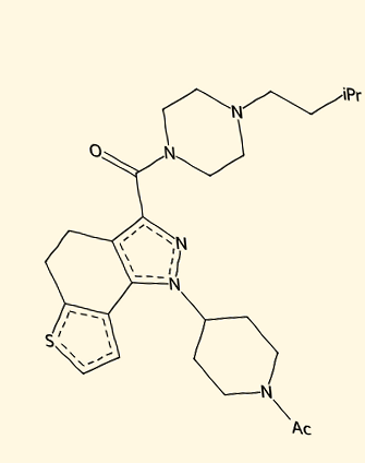 CC(=O)N1CCC(n2nc(C(=O)N3CCN(CCC(C)C)CC3)c3c2-c2ccsc2CC3)CC1